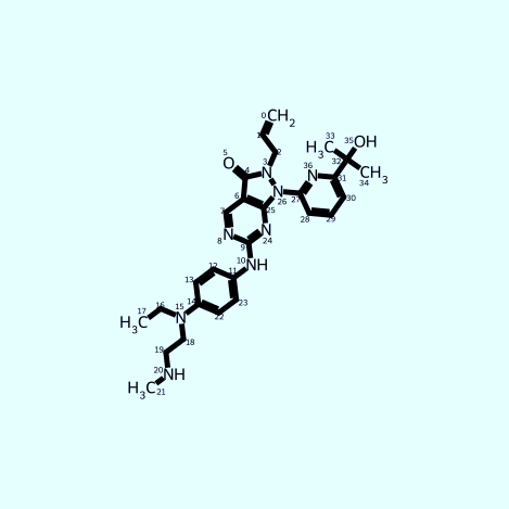 C=CCn1c(=O)c2cnc(Nc3ccc(N(CC)CCNC)cc3)nc2n1-c1cccc(C(C)(C)O)n1